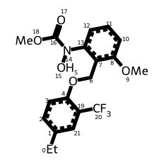 CCc1ccc(OCc2c(OC)cccc2N(O)C(=O)OC)c(C(F)(F)F)c1